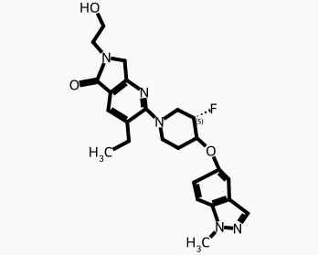 CCc1cc2c(nc1N1CCC(Oc3ccc4c(cnn4C)c3)[C@@H](F)C1)CN(CCO)C2=O